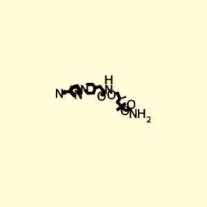 C[C@H](CONC(=O)CC1CCN(c2ccc(C#N)cn2)CC1)CC(C)(C)OC(N)=O